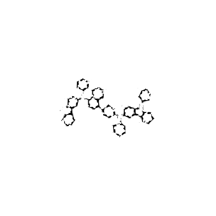 c1ccc(N(c2ccc(-c3ccc(N(c4ccccc4)c4ccc5oc6ccccc6c5c4)c4ccccc34)cc2)c2ccc3c(c2)c2ccccc2n3-c2ccccc2)cc1